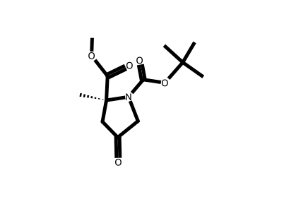 COC(=O)[C@]1(C)CC(=O)CN1C(=O)OC(C)(C)C